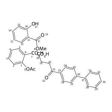 CC(=O)Oc1ccccc1C(=O)O.COC(=O)c1ccccc1O.O=C(O)CCC(=O)c1ccc(-c2ccccc2)cc1